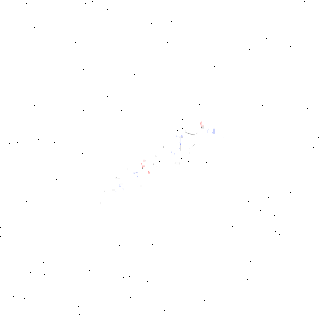 NC(=O)c1ccc(N2CCC(OC(=O)N3CCN(C4CCC4)CC3)CC2)nc1